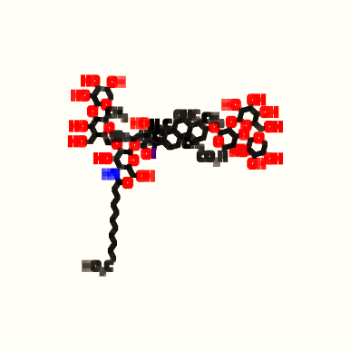 CC1O[C@@H](COC2C(O)[C@@H](NC(=O)CCCCCCCCCCC(=O)O)C(CO)O[C@@H]2OC(=O)[C@@]2(CCC(C)(C)C)C(O)CC3(C)C(=CCC4C5(C)CC[C@H](O[C@@H]6OC(C(=O)O)[C@@H](O)C(O[C@@H]7OC[C@@H](O)C(O)C7O)C6O[C@@H]6OC(CO)[C@H](O)C(O)C6O)C(C)(C=O)C5CCC43C)C2I)C(CO)C(O)[C@H]1O[C@@H]1OC[C@@H](O)C(O)C1O